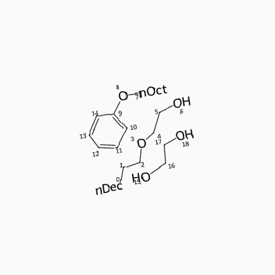 CCCCCCCCCCCCOCCO.CCCCCCCCOc1ccccc1.OCCO